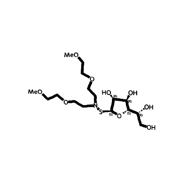 COCCOCCN(CCOCCOC)S[C@@H]1O[C@@H]([C@H](O)CO)[C@H](O)[C@H]1O